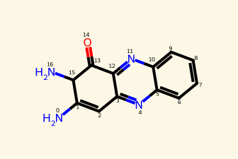 NC1=Cc2nc3ccccc3nc2C(=O)C1N